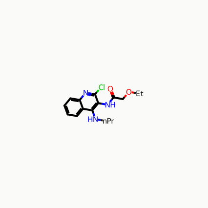 CCCNc1c(NC(=O)COCC)c(Cl)nc2ccccc12